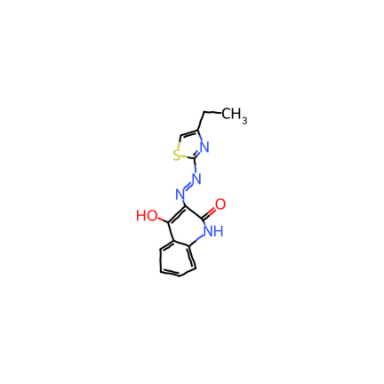 CCc1csc(N=Nc2c(O)c3ccccc3[nH]c2=O)n1